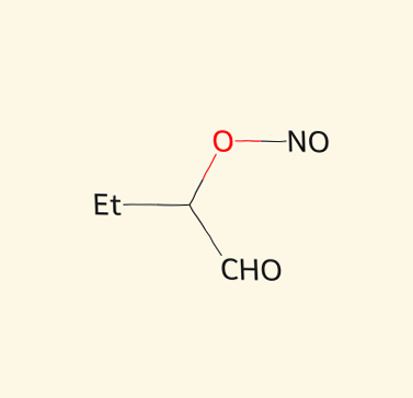 CCC(C=O)ON=O